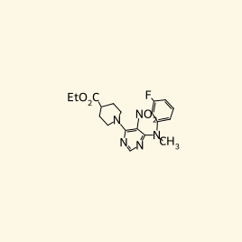 CCOC(=O)C1CCN(c2ncnc(N(C)c3cccc(F)c3)c2[N+](=O)[O-])CC1